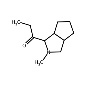 CCC(=O)C1C2CCCC2CN1C